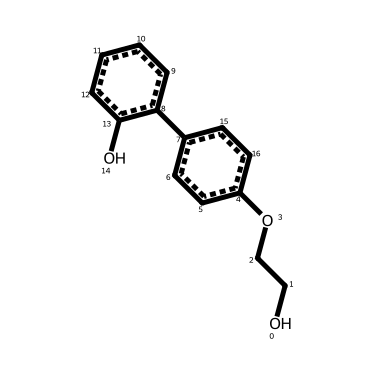 OCCOc1ccc(-c2ccccc2O)cc1